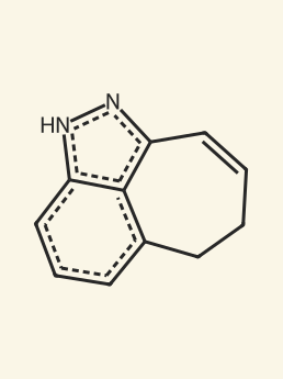 C1=Cc2n[nH]c3cccc(c23)CC1